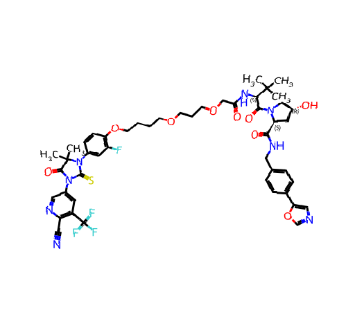 CC(C)(C)[C@H](NC(=O)COCCCOCCCCOc1ccc(N2C(=S)N(c3cnc(C#N)c(C(F)(F)F)c3)C(=O)C2(C)C)cc1F)C(=O)N1C[C@H](O)C[C@H]1C(=O)NCc1ccc(-c2cnco2)cc1